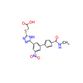 CNC(=O)c1ccc(-c2cc(-c3nnc(SCC(=O)O)[nH]3)cc([N+](=O)[O-])c2)cc1